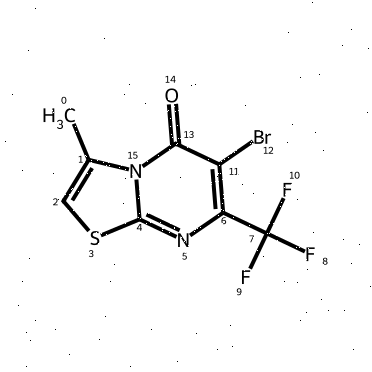 Cc1csc2nc(C(F)(F)F)c(Br)c(=O)n12